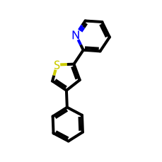 c1ccc(-c2csc(-c3ccccn3)c2)cc1